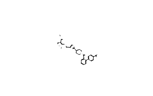 CCOC(=O)c1cnn(C)c1NC(=O)c1csc(C2CCN(C(=O)c3ccccc3-c3ccc(C(F)(F)F)cc3)CC2)n1